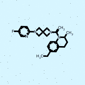 C=C(N1CC2(C1)CN(c1ccc(F)cn1)C2)N1c2ccc(CC)cc2CCC1C